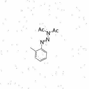 CC(=O)N(/N=N/c1ccccc1C)C(C)=O